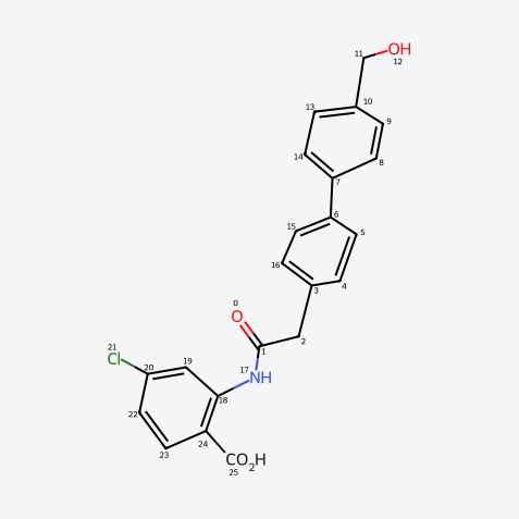 O=C(Cc1ccc(-c2ccc(CO)cc2)cc1)Nc1cc(Cl)ccc1C(=O)O